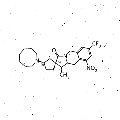 CC1C2Cc3c(cc(C(F)(F)F)cc3[N+](=O)[O-])CN2C(=O)[C@]12CC[C@@H](N1CCCCCCC1)C2